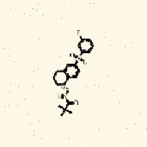 CC(C)(C)C(=O)NC[C@@H]1CCCc2cc(S(=O)(=O)c3cccc(F)c3)ccc21